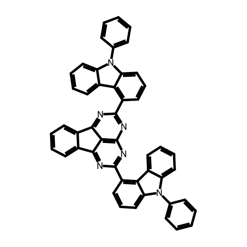 c1ccc(-n2c3ccccc3c3c(-c4nc5c6c(nc(-c7cccc8c7c7ccccc7n8-c7ccccc7)nc6n4)-c4ccccc4-5)cccc32)cc1